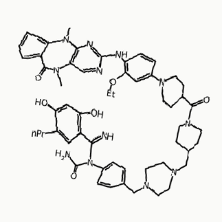 CCCc1cc(C(=N)N(C(N)=O)c2ccc(CN3CCN(CC4CCN(C(=O)C5CCN(c6ccc(Nc7ncc8c(n7)N(C)c7ccccc7C(=O)N8C)c(OCC)c6)CC5)CC4)CC3)cc2)c(O)cc1O